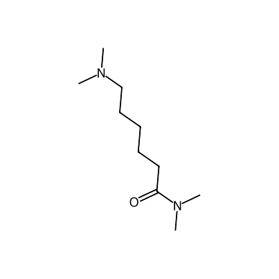 CN(C)CCCCCC(=O)N(C)C